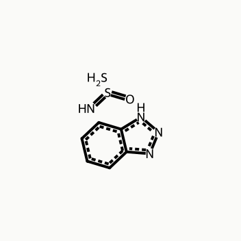 N=S=O.S.c1ccc2[nH]nnc2c1